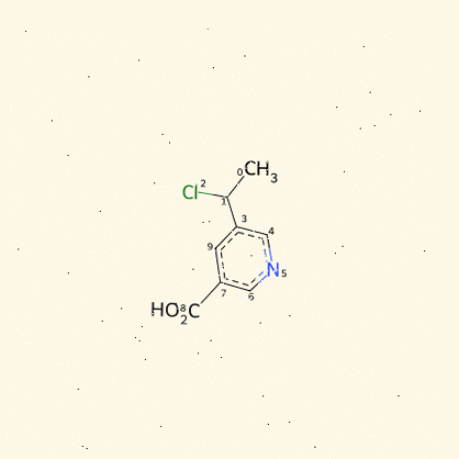 CC(Cl)c1cncc(C(=O)O)c1